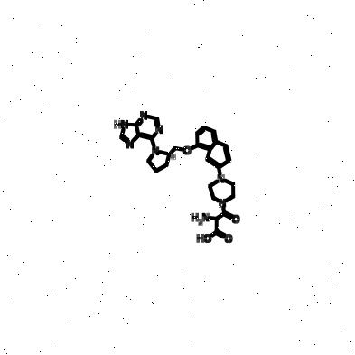 NC(C(=O)O)C(=O)N1CCN(c2ccc3cccc(OC[C@H]4CCCN4c4ncnc5[nH]cnc45)c3c2)CC1